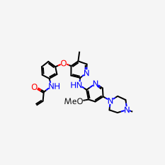 C=CC(=O)Nc1cccc(Oc2cc(Nc3ncc(N4CCN(C)CC4)cc3OC)ncc2C)c1